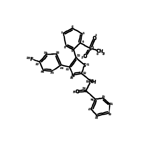 CS(=O)(=O)c1ccccc1-c1sc(NC(=O)c2ccccc2)nc1-c1ccc(F)cc1